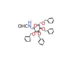 O=CNC[C@@H]1O[C@H](COCc2ccccc2)[C@@H](OCc2ccccc2)[C@H](OCc2ccccc2)[C@H]1OCc1ccccc1